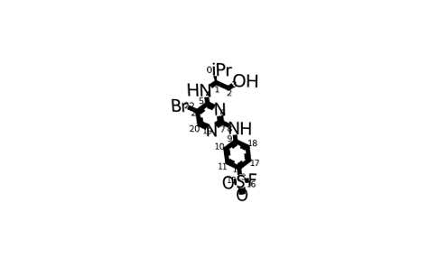 CC(C)[C@@H](CO)Nc1nc(Nc2ccc(S(=O)(=O)F)cc2)ncc1Br